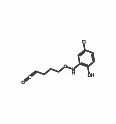 O=C=CCCCONc1cc(Cl)ccc1O